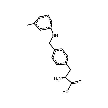 Cc1cccc(NCc2ccc(C[C@H](N)C(=O)O)cc2)c1